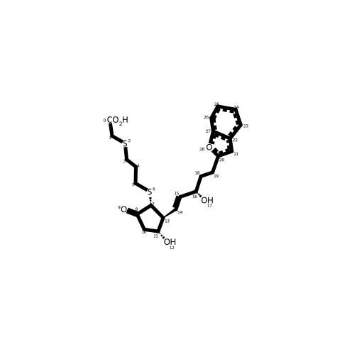 O=C(O)CSCCCS[C@H]1C(=O)C[C@@H](O)[C@@H]1/C=C/[C@@H](O)CCc1cc2ccccc2o1